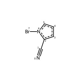 N#Cc1cccn1Br